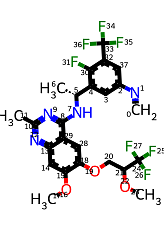 C=Nc1cc([C@@H](C)Nc2nc(C)nc3cc(OC)c(OCC(OC)C(F)(F)F)cc23)c(F)c(C(F)(F)F)c1